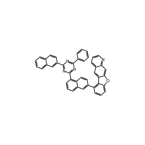 c1ccc(-c2nc(-c3ccc4ccccc4c3)nc(-c3cccc4cc(-c5cccc6oc7cc8ncccc8cc7c56)ccc34)n2)cc1